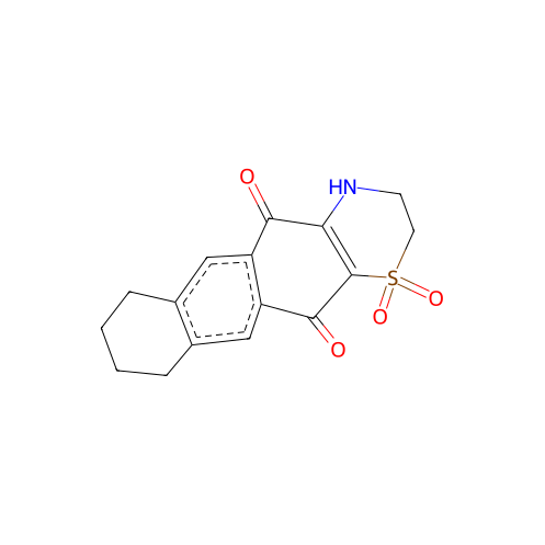 O=C1C2=C(C(=O)c3cc4c(cc31)CCCC4)S(=O)(=O)CCN2